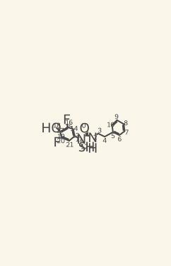 O=C(NCCc1ccccc1)N(S)c1cc(F)c(O)c(F)c1